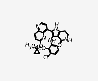 COc1c(Cl)cccc1Nc1c(-c2ccnc3ccc(OC4(C)CC4)nc23)[nH]c2c1C(=O)NCC2